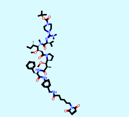 CC[C@H](C)[C@@H]([C@@H](CC(=O)N1CCC[C@H]1[C@H](OC)[C@@H](C)C(=O)N[C@@H](Cc1ccccc1)C(=O)Nc1ccc(CNC(=O)CCCCCN2C(=O)C=CC2=O)cc1)OC)N(C)C(=O)[C@@H](N=C(N(C)C)N1CCN(C(=O)OC(C)(C)C)CC1)C(C)C